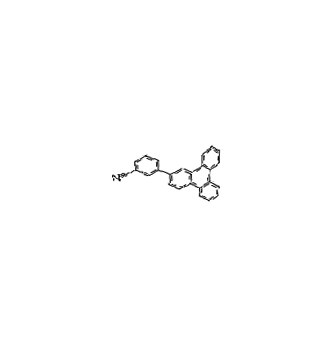 N#Cc1cccc(-c2ccc3c4ccccc4c4ccccc4c3c2)c1